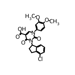 COc1ccc(-n2cc(C(=O)O)c(=O)n(C3CCc4c(Cl)cccc43)c2=O)cc1OC